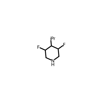 CC(C)C1C(F)CNCC1F